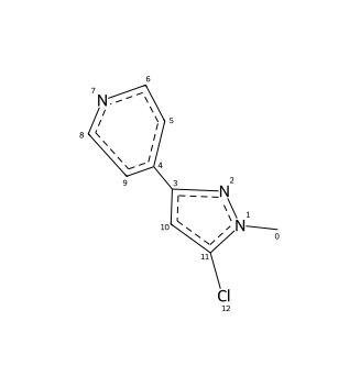 Cn1nc(-c2ccncc2)cc1Cl